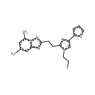 Cc1cc(C)n2nc(CCc3nc(-c4cccs4)cn3CCF)nc2c1